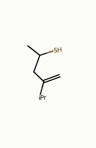 C=C(CC(C)S)C(C)C